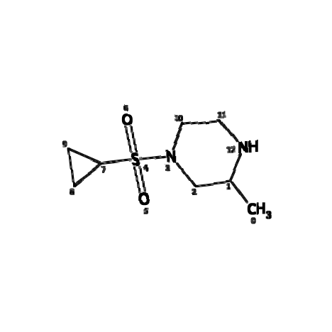 CC1CN(S(=O)(=O)C2CC2)CCN1